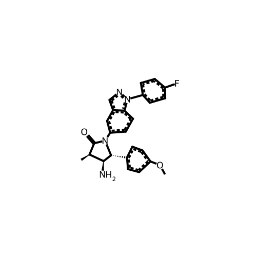 COc1ccc([C@@H]2[C@@H](N)[C@@H](C)C(=O)N2c2ccc3c(cnn3-c3ccc(F)cc3)c2)cc1